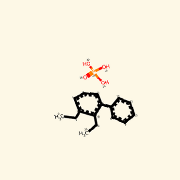 CCc1cccc(-c2ccccc2)c1CC.O=P(O)(O)O